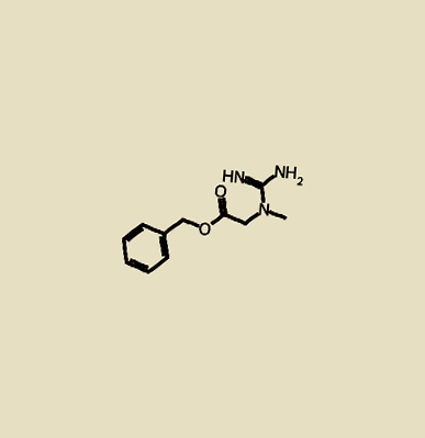 CN(CC(=O)OCc1ccccc1)C(=N)N